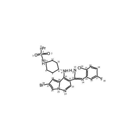 CCCS(=O)(=O)N[C@H]1CC[C@@H](Nc2c(/C(N)=N/c3cc(F)ccc3Cl)cnn3cc(Br)cc23)CC1